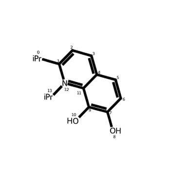 CC(C)c1ccc2ccc(O)c(O)c2[n+]1C(C)C